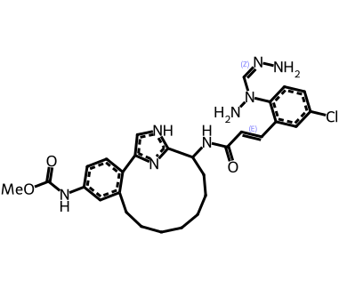 COC(=O)Nc1ccc2c(c1)CCCCCCCC(NC(=O)/C=C/c1cc(Cl)ccc1N(N)/C=N\N)c1nc-2c[nH]1